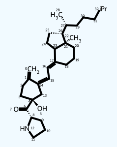 C=C1CC[C@@](O)(C(=O)[C@@H]2CCCN2)C/C1=C/C=C1CCC[C@@]2(C)C1CC[C@@H]2[C@H](C)CCCC(C)C